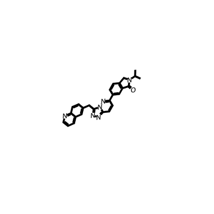 CC(C)N1Cc2ccc(-c3ccc4nnc(Cc5ccc6ncccc6c5)n4n3)cc2C1=O